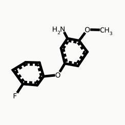 COc1ccc(Oc2cccc(F)c2)cc1N